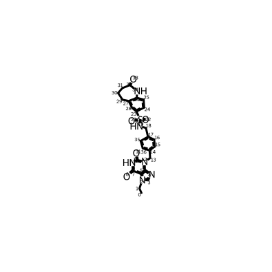 CCn1cnc2c1c(=O)[nH]c(=O)n2Cc1ccc(CNS(=O)(=O)c2ccc3c(c2)CCCC(=O)N3)cc1